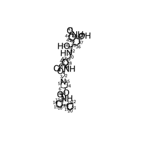 O=C(CCN1CCC(OC(=O)Nc2ccccc2-c2ccccc2)CC1)Nc1cc(CNC[C@@H](O)c2ccc(O)c3[nH]c(=O)ccc23)ccc1Cl